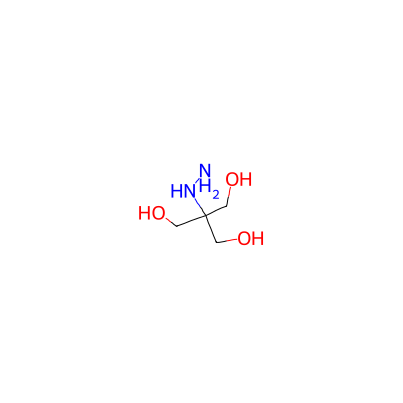 NNC(CO)(CO)CO